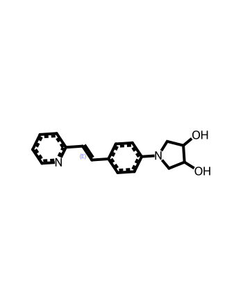 OC1CN(c2ccc(/C=C/c3ccccn3)cc2)CC1O